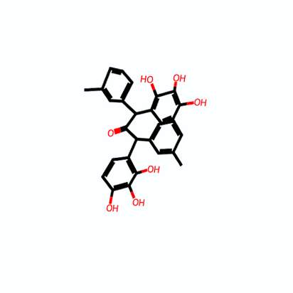 Cc1cccc(C(C(=O)C(c2cccc(C)c2)c2ccc(O)c(O)c2O)c2ccc(O)c(O)c2O)c1